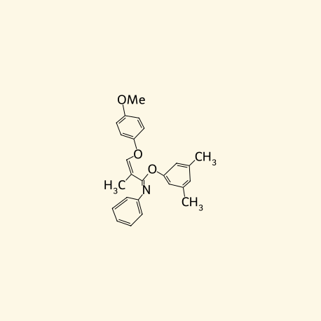 COc1ccc(OC=C(C)C(=Nc2ccccc2)Oc2cc(C)cc(C)c2)cc1